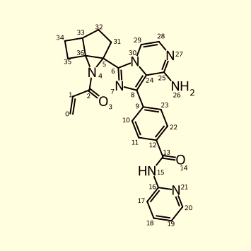 C=CC(=O)N1C2(c3nc(-c4ccc(C(=O)Nc5ccccn5)cc4)c4c(N)nccn34)CCC3CCC312